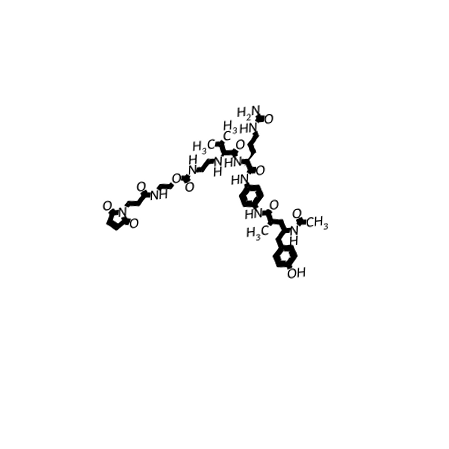 CC(=O)NC(Cc1ccc(O)cc1)CC(C)C(=O)Nc1ccc(NC(=O)[C@H](CCCNC(N)=O)NC(=O)[C@@H](NCCNC(=O)OCCNC(=O)CCN2C(=O)C=CC2=O)C(C)C)cc1